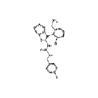 NCc1cccc(Cl)c1N1c2ccccc2SC1NC(=O)NCc1ccc(F)cc1